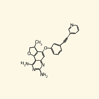 CC1COc2c1c(Oc1cccc(C#Cc3cccnc3)c1)cc1nc(N)nc(N)c21